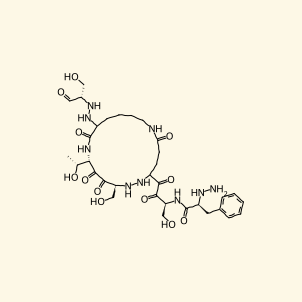 C[C@@H](O)[C@@H]1NC(=O)C(NN[C@H](C=O)CO)CCCCNC(=O)CCC(C(=O)C(=O)[C@H](CO)NC(=O)[C@H](Cc2ccccc2)NN)NN[C@@H](CO)C(=O)C1=O